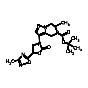 Cc1noc(C2CN(c3cnn4c3CN(C(=O)OC(C)(C)C)C(C)C4)C(=O)O2)n1